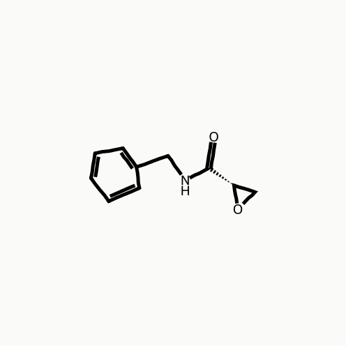 O=C(NCc1ccccc1)[C@@H]1CO1